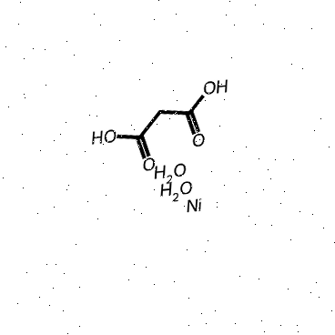 O.O.O=C(O)CC(=O)O.[Ni]